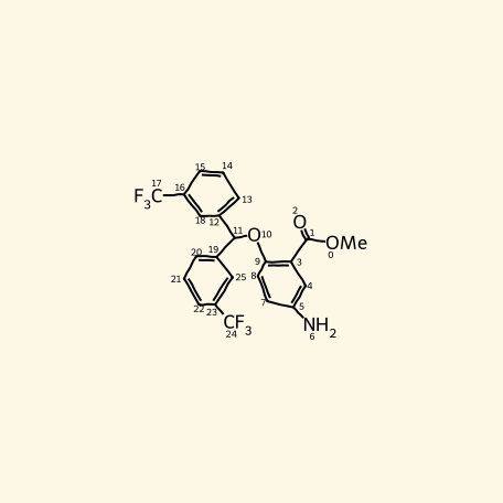 COC(=O)c1cc(N)ccc1OC(c1cccc(C(F)(F)F)c1)c1cccc(C(F)(F)F)c1